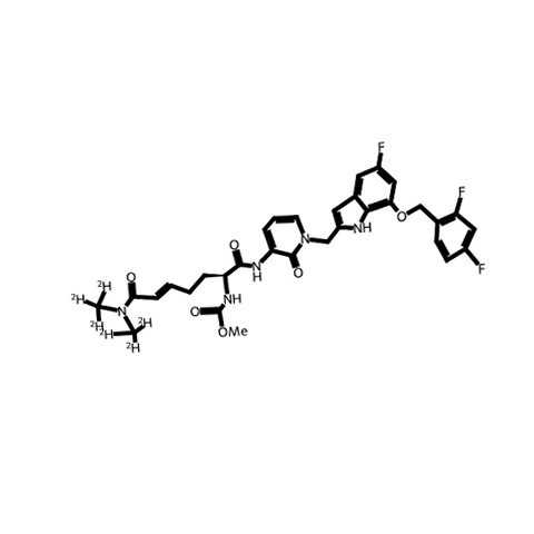 [2H]C([2H])([2H])N(C(=O)/C=C/CC[C@H](NC(=O)OC)C(=O)Nc1cccn(Cc2cc3cc(F)cc(OCc4ccc(F)cc4F)c3[nH]2)c1=O)C([2H])([2H])[2H]